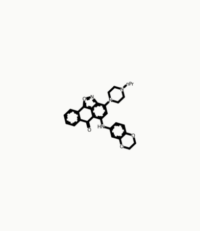 CCCN1CCN(c2cc(Nc3ccc4c(c3)OCCO4)c3c4c(onc24)-c2ccccc2C3=O)CC1